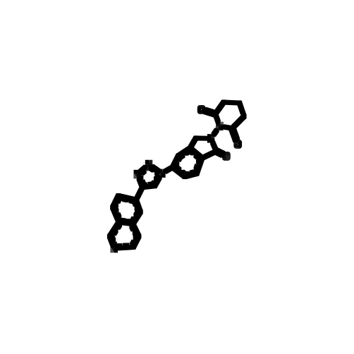 O=C1c2ccc(-n3cc(-c4ccc5cnccc5c4)nn3)cc2CN1N1C(=O)CCCC1=O